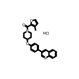 Cc1ccoc1C(=O)N1CCC(Oc2ccc(-c3cnc4ccccc4c3)cc2)CC1.Cl